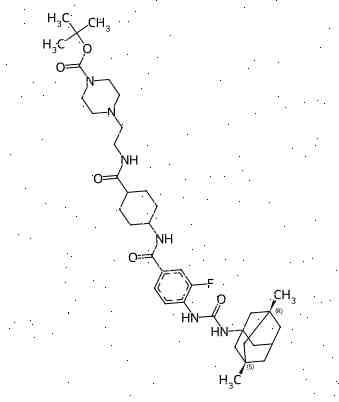 CC(C)(C)OC(=O)N1CCN(CCNC(=O)C2CCC(NC(=O)c3ccc(NC(=O)NC45CC6C[C@@](C)(C4)C[C@](C)(C6)C5)c(F)c3)CC2)CC1